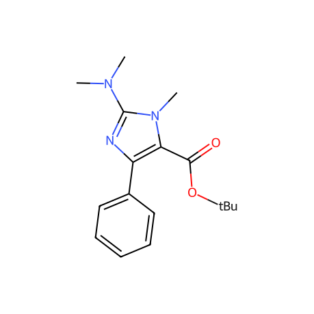 CN(C)c1nc(-c2ccccc2)c(C(=O)OC(C)(C)C)n1C